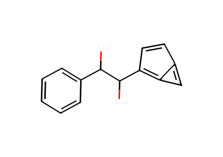 OC(c1ccccc1)C(O)c1ccc2cc1-2